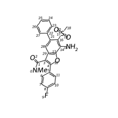 CNC(=O)c1c(-c2ccc(F)cc2)oc2c(N)c(S(C)(=O)=O)c(-c3ccccc3)cc12